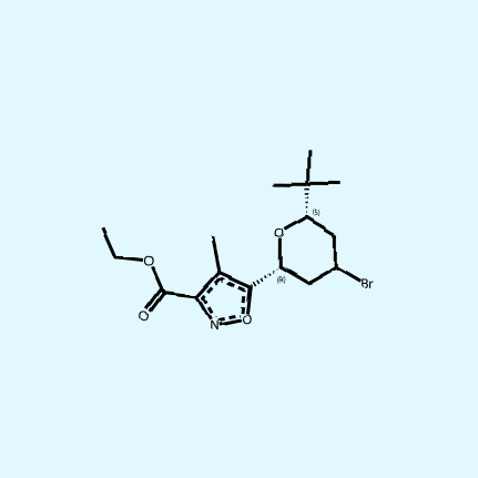 CCOC(=O)c1noc([C@H]2CC(Br)C[C@@H](C(C)(C)C)O2)c1C